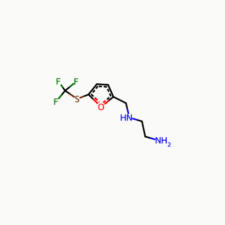 NCCNCc1ccc(SC(F)(F)F)o1